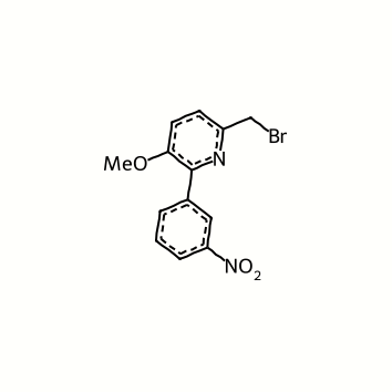 COc1ccc(CBr)nc1-c1cccc([N+](=O)[O-])c1